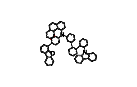 c1cc(-c2ccccc2-c2ccccc2-n2c3ccccc3c3ccccc32)cc(N(c2ccc(-c3cccc4c3oc3ccccc34)cc2)c2cccc3ccc4ccccc4c23)c1